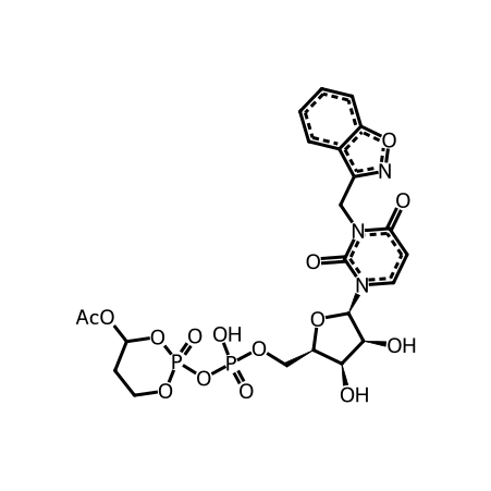 CC(=O)OC1CCOP(=O)(OP(=O)(O)OC[C@H]2O[C@@H](n3ccc(=O)n(Cc4noc5ccccc45)c3=O)[C@@H](O)[C@H]2O)O1